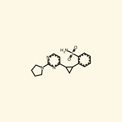 NS(=O)(=O)c1ccccc1C1CC1c1ccnc(N2CCCC2)n1